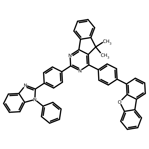 CC1(C)c2ccccc2-c2nc(-c3ccc(-c4nc5ccccc5n4-c4ccccc4)cc3)nc(-c3ccc(-c4cccc5c4oc4ccccc45)cc3)c21